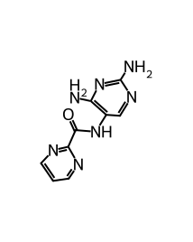 Nc1ncc(NC(=O)c2ncccn2)c(N)n1